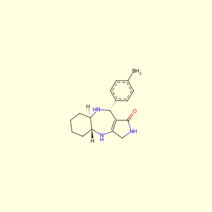 Bc1ccc([C@H]2N[C@@H]3CCCC[C@H]3NC3=C2C(=O)NC3)cc1